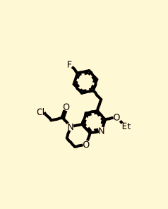 CCOc1nc2c(cc1Cc1ccc(F)cc1)N(C(=O)CCl)CCO2